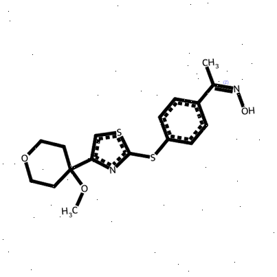 COC1(c2csc(Sc3ccc(/C(C)=N\O)cc3)n2)CCOCC1